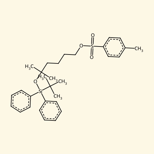 Cc1ccc(S(=O)(=O)OCCCCC(C)(C)O[Si](c2ccccc2)(c2ccccc2)C(C)(C)C)cc1